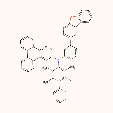 Bc1c(B)c(N(c2cccc(-c3ccc4oc5ccccc5c4c3)c2)c2ccc3c4ccccc4c4ccccc4c3c2)c(B)c(B)c1-c1ccccc1